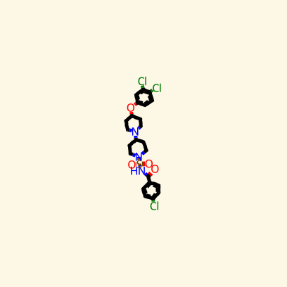 O=C(NS(=O)(=O)N1CCC(N2CCC(Oc3ccc(Cl)c(Cl)c3)CC2)CC1)c1ccc(Cl)cc1